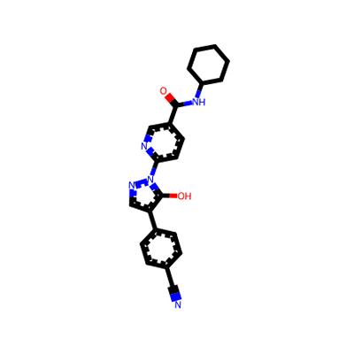 N#Cc1ccc(-c2cnn(-c3ccc(C(=O)NC4CCCCC4)cn3)c2O)cc1